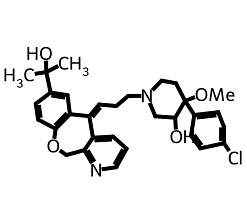 COC1(c2ccc(Cl)cc2)CCN(CCC=C2c3cc(C(C)(C)O)ccc3OCc3ncccc32)CC1O